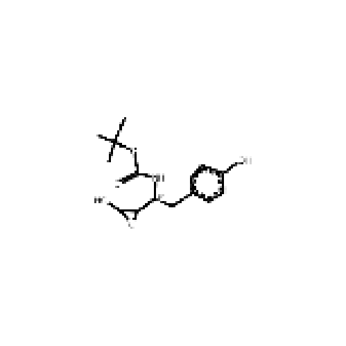 CC(C)(C)OC(=O)N[C@@H](Cc1ccc(O)cc1)C1OC1O